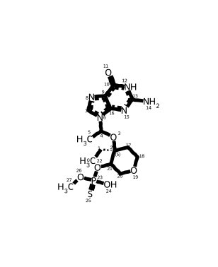 CC[C@]1(OC(C)n2cnc3c(=O)[nH]c(N)nc32)CCOCC1OP(O)(=S)OC